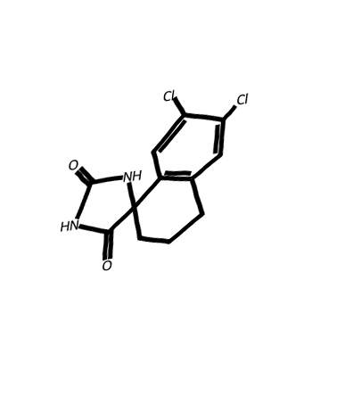 O=C1NC(=O)C2(CCCc3cc(Cl)c(Cl)cc32)N1